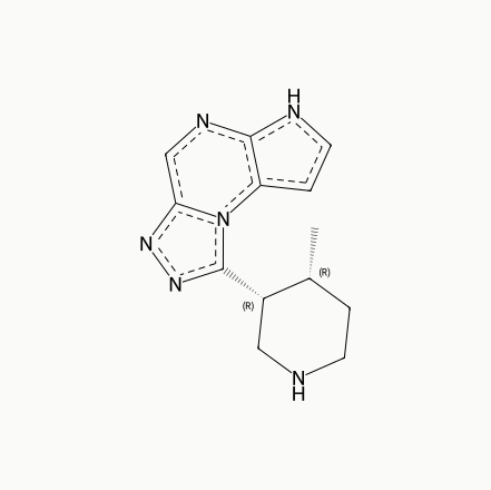 C[C@@H]1CCNC[C@@H]1c1nnc2cnc3[nH]ccc3n12